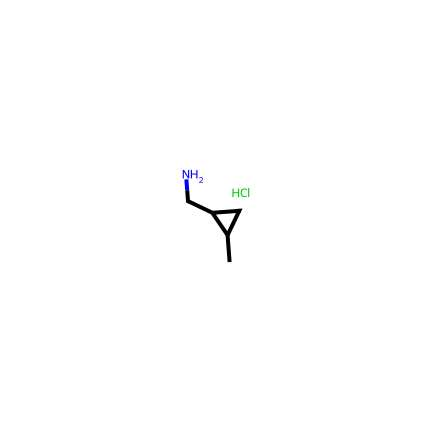 CC1CC1CN.Cl